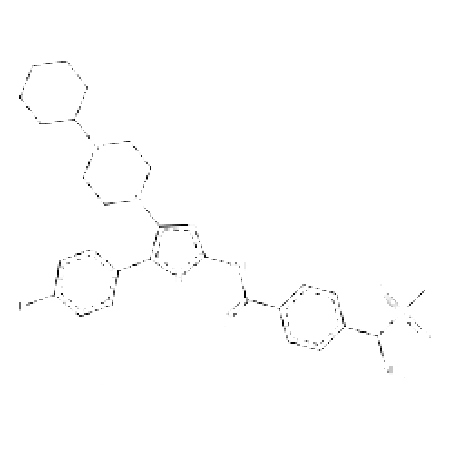 CS(=O)(=O)C(N)c1ccc(C(=O)Nc2nc(-c3ccc(F)cc3)c(N3CCN(C4CCCCC4)CC3)s2)cc1.Cl